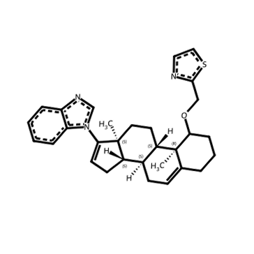 C[C@]12CC[C@H]3[C@@H](CC=C4CCCC(OCc5nccs5)[C@@]43C)[C@@H]1CC=C2n1cnc2ccccc21